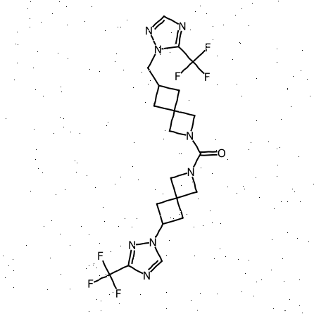 O=C(N1CC2(CC(Cn3ncnc3C(F)(F)F)C2)C1)N1CC2(CC(n3cnc(C(F)(F)F)n3)C2)C1